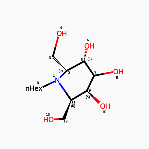 CCCCCCN1[C@H](CO)[C@H](O)C(O)[C@@H](O)[C@H]1CO